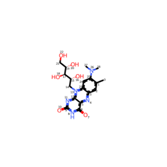 Cc1cc2nc3c(=O)[nH]c(=O)nc-3n(C[C@@H](O)[C@@H](O)[C@@H](O)CO)c2cc1N(C)C